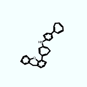 C1=CCC=C(c2ccc(NC3=CCC=C(c4cccc5c4Oc4ccccc4C5)C=C3)cc2)C=C1